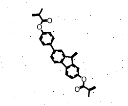 C=C(C)C(=O)Oc1ccc(-c2ccc3c(c2)C(=C)c2cc(OC(=O)C(=C)C)ccc2-3)cc1